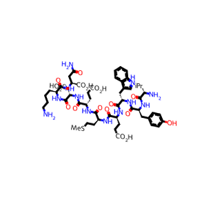 CSCC[C@H](NC(=O)[C@H](CCC(=O)O)NC(=O)[C@H](Cc1c[nH]c2ccccc12)NC(=O)[C@H](Cc1ccc(O)cc1)NC(=O)[C@@H](N)C(C)C)C(=O)N[C@@H](CCC(=O)O)C(=O)N[C@@H](CC(=O)O)C(=O)N[C@@H](CCCCN)C(=O)N[C@@H](CC(N)=O)C(=O)O